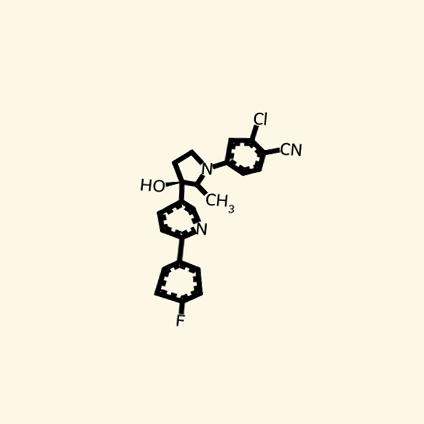 CC1N(c2ccc(C#N)c(Cl)c2)CC[C@@]1(O)c1ccc(-c2ccc(F)cc2)nc1